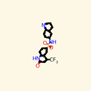 O=c1cc(C(F)(F)F)c2cc(S(=O)(=O)Nc3ccc4ncccc4c3)ccc2[nH]1